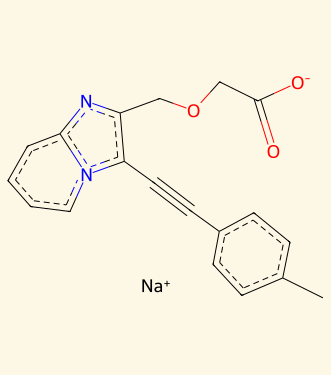 Cc1ccc(C#Cc2c(COCC(=O)[O-])nc3ccccn23)cc1.[Na+]